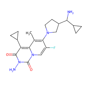 Cc1c(N2CCC(C(N)C3CC3)C2)c(F)cn2c(=O)n(N)c(=O)c(C3CC3)c12